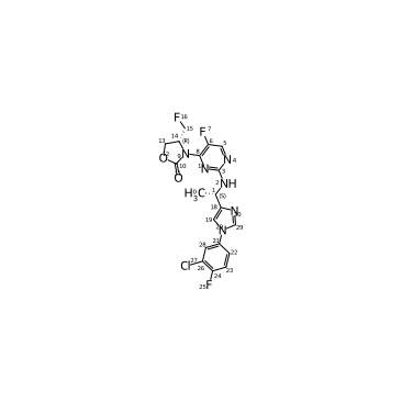 C[C@H](Nc1ncc(F)c(N2C(=O)OC[C@@H]2CF)n1)c1cn(-c2ccc(F)c(Cl)c2)cn1